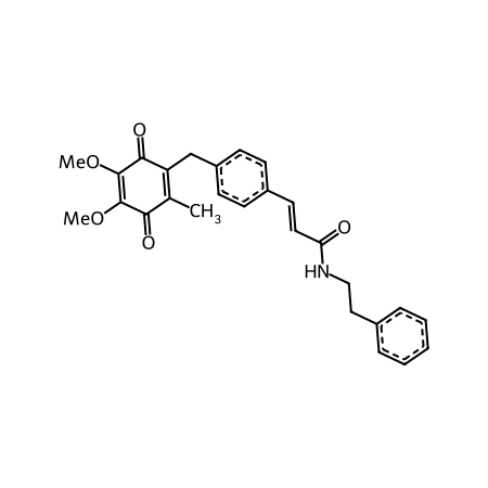 COC1=C(OC)C(=O)C(Cc2ccc(C=CC(=O)NCCc3ccccc3)cc2)=C(C)C1=O